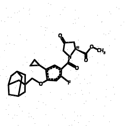 COC(=O)[C@@H]1CC(=O)CN1C(=O)c1cc(C2CC2)c(OCC23CC4CC(CC(C4)C2)C3)cc1F